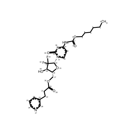 CCCCCCOC(=O)Nc1ccn([C@@H]2O[C@H](COC(=O)CCc3cccnc3)[C@@H](O)C2(F)F)c(=O)n1